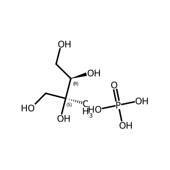 C[C@](O)(CO)[C@H](O)CO.O=P(O)(O)O